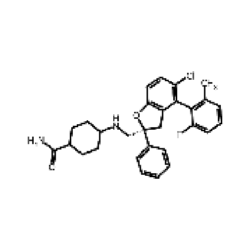 Cc1cccc(F)c1-c1c(Cl)ccc2c1C[C@@](CNC1CCC(C(N)=O)CC1)(c1ccccc1)O2